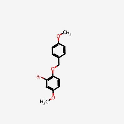 COc1[c]c(Br)c(OCc2ccc(OC)cc2)cc1